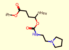 [CH2]C([CH2])OC(=O)CCC(CCCCCC)OC(=O)NCCN1CCCC1